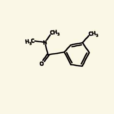 Cc1cccc(C(=O)N(C)C)c1